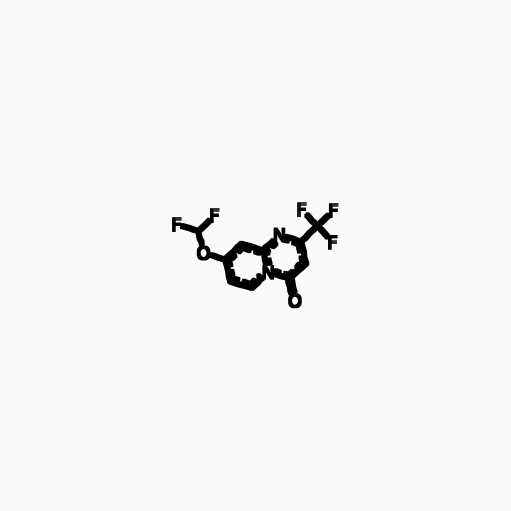 O=c1cc(C(F)(F)F)nc2cc(OC(F)F)ccn12